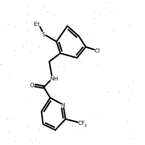 CCSc1ccc(Cl)cc1CNC(=O)c1cccc(C(F)(F)F)n1